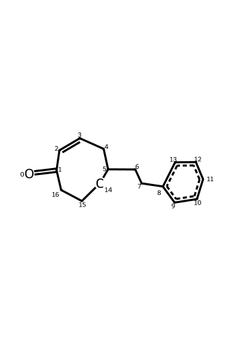 O=C1C=CCC(CCc2ccccc2)CCC1